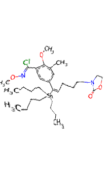 CCC[CH2][Sn]([CH2]CCC)([CH2]CCC)/[C](=C/CCCN1CCOC1=O)c1cc(C)c(OC)c(/C(Cl)=N/OC)c1